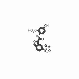 CCN(c1ccc2noc(C(=O)Nc3ccc(C#N)cc3C(=O)O)c2c1)S(C)(=O)=O